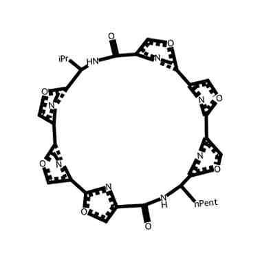 CCCCCC1NC(=O)c2coc(n2)-c2coc(n2)-c2coc(n2)C(C(C)C)NC(=O)c2coc(n2)-c2coc(n2)-c2coc1n2